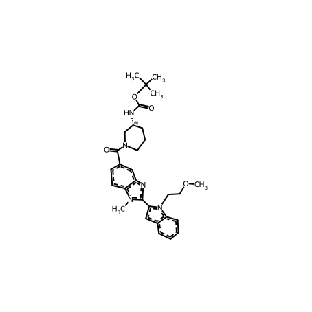 COCCn1c(-c2nc3cc(C(=O)N4CCC[C@@H](NC(=O)OC(C)(C)C)C4)ccc3n2C)cc2ccccc21